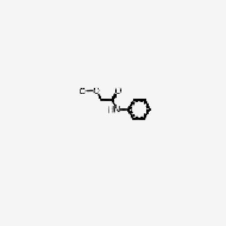 O=C(COCl)Nc1ccccc1